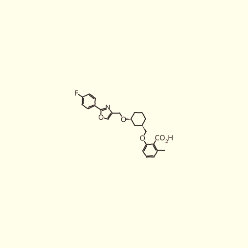 Cc1cccc(OC[C@@H]2CCC[C@H](OCc3coc(-c4ccc(F)cc4)n3)C2)c1C(=O)O